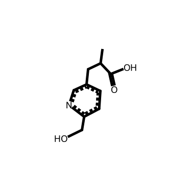 CC(Cc1ccc(CO)nc1)C(=O)O